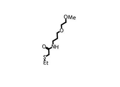 CCSCC(=O)NCCCOCCOC